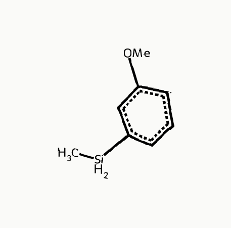 COc1[c]ccc([SiH2]C)c1